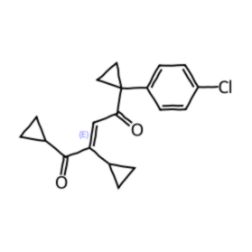 O=C(/C(=C/C(=O)C1(c2ccc(Cl)cc2)CC1)C1CC1)C1CC1